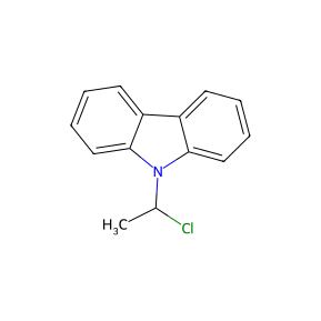 CC(Cl)n1c2ccccc2c2ccccc21